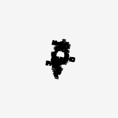 CCn1c(-c2cccnc2[C@H](C)OC)c2c3cc(ccc31)-c1csc(n1)C[C@H](NC(=O)[C@H](C(C)C)N(C)C(=O)N1CCO[C@]3(CCN(C)C3)C1)C(=O)N1CCC[C@](C=O)(COCC(C)(C)C2)N1